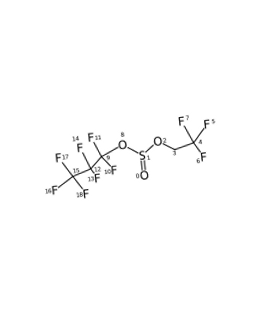 O=S(OCC(F)(F)F)OC(F)(F)C(F)(F)C(F)(F)F